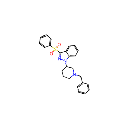 O=S(=O)(c1ccccc1)c1nn(C2CCCN(Cc3ccccc3)C2)c2ccccc12